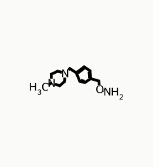 CN1CCN(Cc2ccc(CON)cc2)CC1